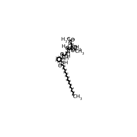 CCCCCCCCC=CCCCCCCCC(=O)NC1CCCCC1NC(=O)CCNC(=O)C(OC(C)=O)C(C)(C)COC(C)=O